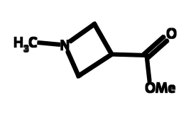 COC(=O)C1CN(C)C1